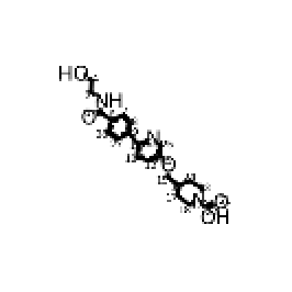 O=C(NCCO)c1ccc(-c2ccc(OCC3CCN(C(=O)O)CC3)cn2)cc1